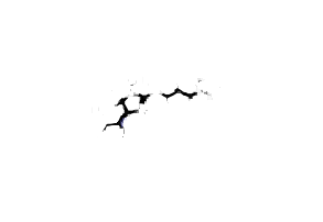 CC/C(F)=C1/N=C(OCCCN(C)C)N(C)C1(C)O